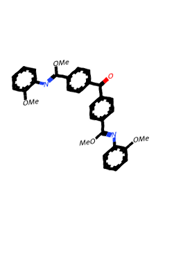 CO/C(=N\c1ccccc1OC)c1ccc(C(=O)c2ccc(/C(=N/c3ccccc3OC)OC)cc2)cc1